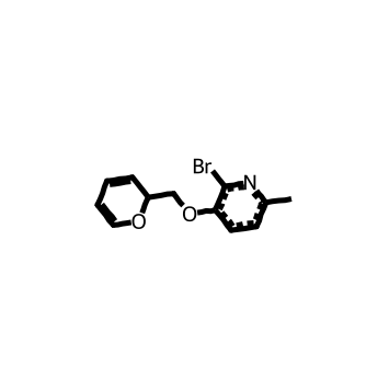 Cc1ccc(OCC2C=CC=CO2)c(Br)n1